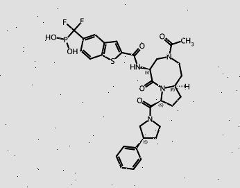 CC(=O)N1CC[C@H]2CC[C@@H](C(=O)N3CC[C@@H](c4ccccc4)C3)N2C(=O)[C@@H](NC(=O)c2cc3cc(C(F)(F)P(O)O)ccc3s2)C1